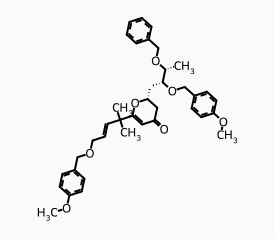 COc1ccc(COC/C=C/C(C)(C)C2=CC(=O)C[C@@H](C[C@@H](OCc3ccc(OC)cc3)[C@@H](C)OCc3ccccc3)O2)cc1